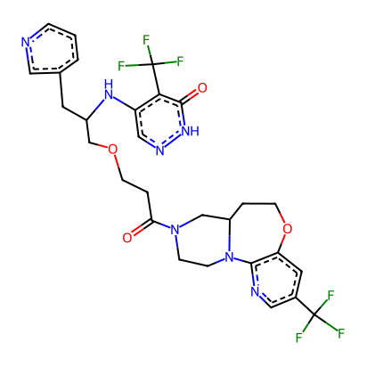 O=C(CCOCC(Cc1cccnc1)Nc1cn[nH]c(=O)c1C(F)(F)F)N1CCN2c3ncc(C(F)(F)F)cc3OCCC2C1